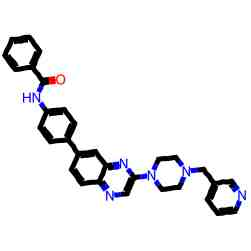 O=C(Nc1ccc(-c2ccc3ncc(N4CCN(Cc5cccnc5)CC4)nc3c2)cc1)c1ccccc1